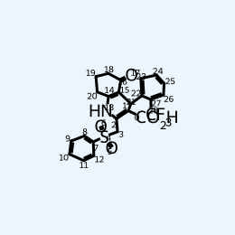 O=C(O)C1=C(CS(=O)(=O)c2ccccc2)NC2=C(C(=O)CCC2)C1c1ccccc1C(F)(F)F